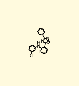 Clc1cccc(Nc2ncccc2-c2nc(-c3ccccc3)no2)c1